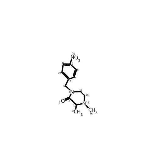 CC1C(=O)N(Cc2ccc([N+](=O)[O-])cc2)CCN1C